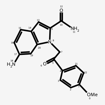 COc1ccc(C(=O)Cn2c(C(N)=O)cc3ccc(N)cc32)cc1